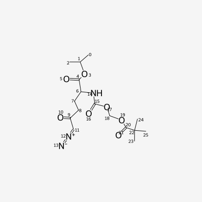 CC(C)OC(=O)C(CCC(=O)C=[N+]=[N-])NC(=O)OCOC(=O)C(C)(C)C